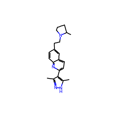 Cc1n[nH]c(C)c1-c1ccc2cc(CCN3CCCC3C)ccc2n1